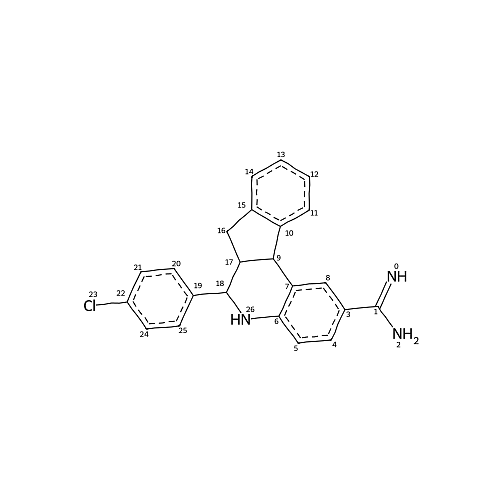 N=C(N)c1ccc2c(c1)C1c3ccccc3CC1C(c1ccc(Cl)cc1)N2